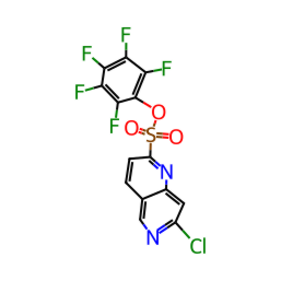 O=S(=O)(Oc1c(F)c(F)c(F)c(F)c1F)c1ccc2cnc(Cl)cc2n1